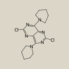 Clc1nc(N2CCCCC2)c2nc(Cl)nc(N3CCCCC3)c2n1